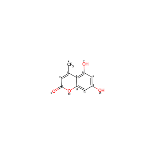 O=c1cc(C(F)(F)F)c2c(O)cc(O)cc2o1